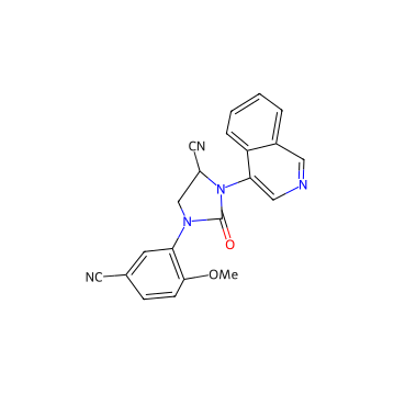 COc1ccc(C#N)cc1N1CC(C#N)N(c2cncc3ccccc23)C1=O